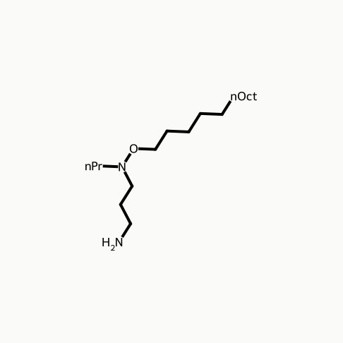 CCCCCCCCCCCCCON(CCC)CCCN